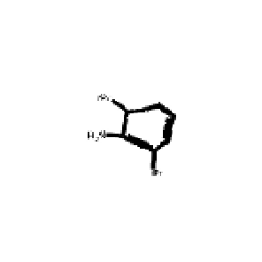 CC(C)C1=C(N)C(C(C)C)CC=C1